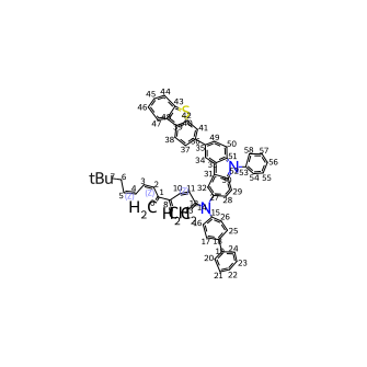 C=C(/C=C\C=C/CC(C)(C)C)C(=C)/C=C\C(=C)N(c1ccc(-c2ccccc2)cc1)c1ccc2c(c1)c1cc(-c3ccc4c(c3)sc3ccccc34)ccc1n2-c1ccccc1